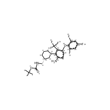 CC(C)(C)OC(=O)NC[C@@H]1CCCN(c2c(N)ccc(Oc3c(F)cc(F)cc3F)c2C(F)(F)F)C1